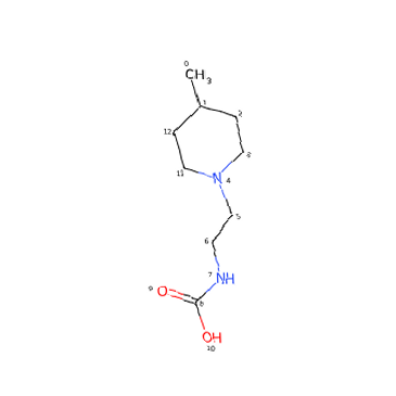 CC1CCN(CCNC(=O)O)CC1